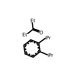 CC(C)c1ccccc1C(C)C.CCC(=O)CC